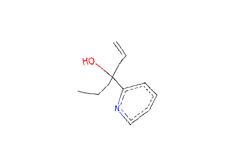 C=CC(O)(CC)c1ccccn1